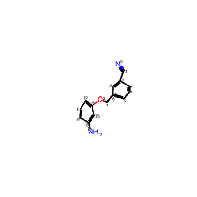 N#Cc1cccc(COc2cccc(N)c2)c1